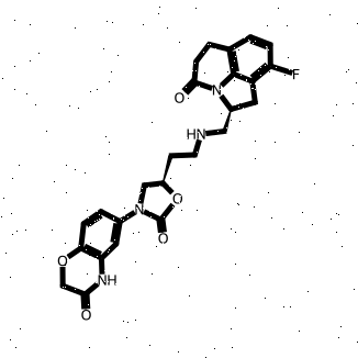 O=C1COc2ccc(N3C[C@@H](CCNC[C@@H]4Cc5c(F)ccc6c5N4C(=O)CC6)OC3=O)cc2N1